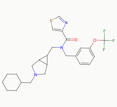 O=C(c1cscn1)N(Cc1cccc(OC(F)(F)F)c1)CC1C2CN(CC3CCCCC3)CC21